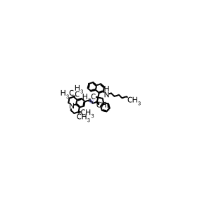 C=C(/C=C/c1cc2c3c(c1)C(C)(C)CCN3CCC2(C)C)C(C)(Cc1ccccc1)c1c(NCCCCCC)ccc2ccccc12